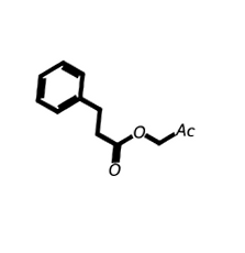 CC(=O)COC(=O)CCc1ccccc1